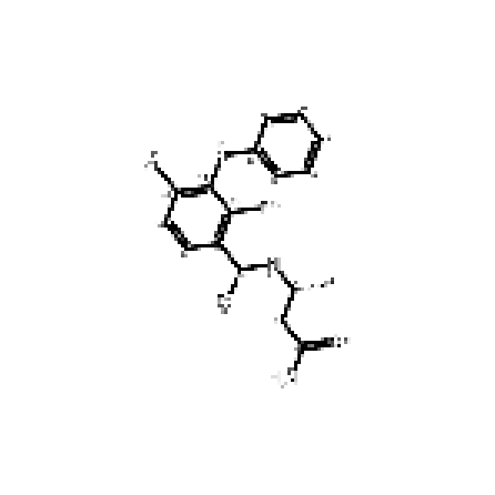 CC[C@H](N[C@H](C)CC(N)=O)c1ccc(Cl)c(Oc2ccccc2)c1F